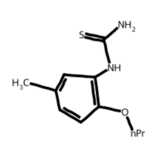 CCCOc1ccc(C)cc1NC(N)=S